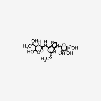 CSc1nc(NC(=O)NC(C(=O)O)C(C)O)c2ncn([C@@H]3O[C@H](CO)[C@@H](O)[C@H]3O)c2n1